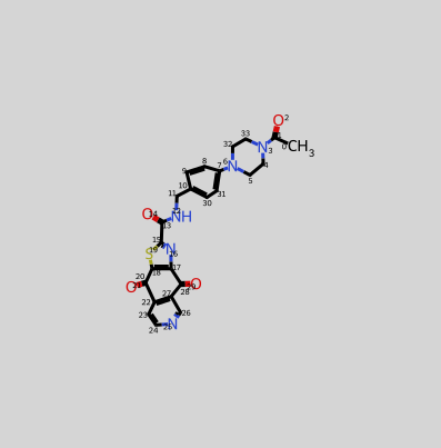 CC(=O)N1CCN(c2ccc(CNC(=O)c3nc4c(s3)C(=O)c3ccncc3C4=O)cc2)CC1